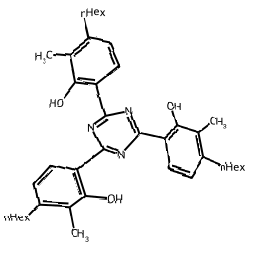 CCCCCCc1ccc(-c2nc(-c3ccc(CCCCCC)c(C)c3O)nc(-c3ccc(CCCCCC)c(C)c3O)n2)c(O)c1C